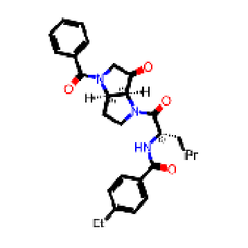 CCc1ccc(C(=O)N[C@@H](CC(C)C)C(=O)N2CC[C@@H]3[C@H]2C(=O)CN3C(=O)c2ccccc2)cc1